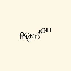 O=C1CCC(N2Cc3cccc(CN4C5CNCC4C5)c3C2)C(=O)N1